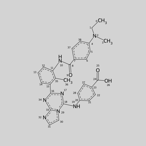 CCN(C)c1ccc(C(=O)Nc2cccc(-c3nc(Nc4ccc(C(=O)O)cc4)n4ccnc4n3)c2C)cc1